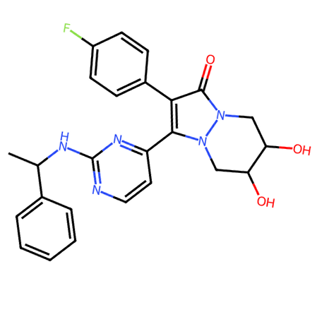 CC(Nc1nccc(-c2c(-c3ccc(F)cc3)c(=O)n3n2CC(O)C(O)C3)n1)c1ccccc1